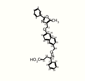 Cc1oc(-c2ccccc2)nc1COc1ccc2cc(CO/N=C(\CCC(=O)O)c3ccccc3)ccc2c1